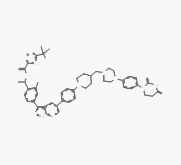 Cc1cc(-c2n[nH]c3ncc(-c4ccc(N5CCC(CN6CCN(c7ccc(N8CCC(=O)NC8=O)cc7)CC6)CC5)cc4)cc23)ccc1C(C)NC(=O)c1noc(C(C)(C)C)n1